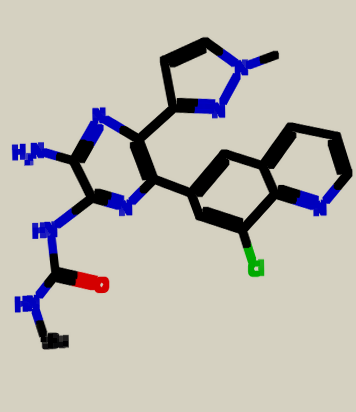 Cn1ccc(-c2nc(N)c(NC(=O)NC(C)(C)C)nc2-c2cc(Cl)c3ncccc3c2)n1